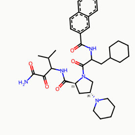 CC(C)C(NC(=O)[C@@H]1C[C@@H](N2CCCCC2)CN1C(=O)C(CC1CCCCC1)NC(=O)c1ccc2ccccc2c1)C(=O)C(N)=O